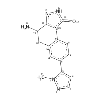 Cn1nccc1-c1ccc2c(c1)CC(N)c1n[nH]c(=O)n1-2